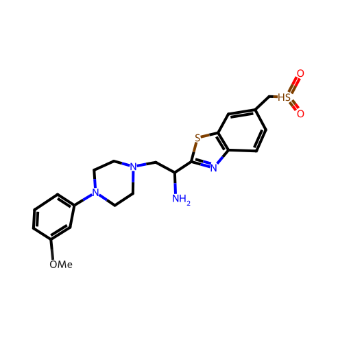 COc1cccc(N2CCN(CC(N)c3nc4ccc(C[SH](=O)=O)cc4s3)CC2)c1